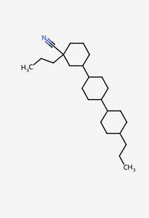 CCCC1CCC(C2CCC(C3CCCC(C#N)(CCC)C3)CC2)CC1